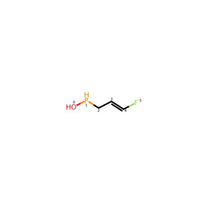 OPCC=CF